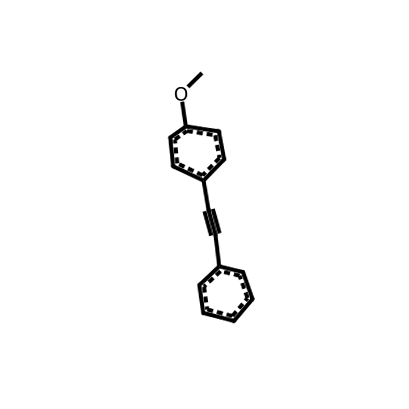 COc1ccc(C#Cc2ccccc2)cc1